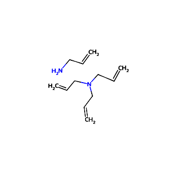 C=CCN.C=CCN(CC=C)CC=C